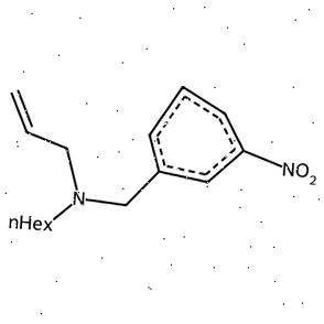 C=CCN(CCCCCC)Cc1cccc([N+](=O)[O-])c1